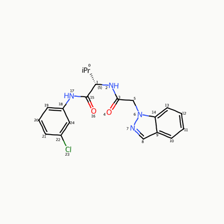 CC(C)[C@H](NC(=O)Cn1ncc2ccccc21)C(=O)Nc1cccc(Cl)c1